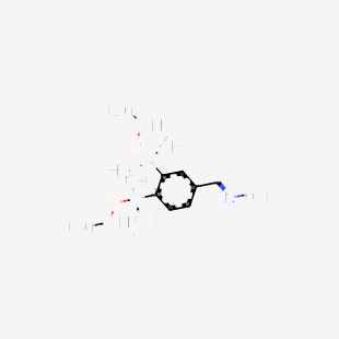 CCCN=Cc1ccc([Si](C)(C)O[SiH2]C(C)(C)C)c([Si](C)(C)O[SiH2]C(C)(C)C)c1